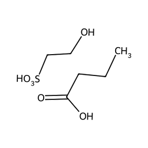 CCCC(=O)O.O=S(=O)(O)CCO